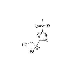 C[C@@](O)(CO)c1ncc(S(C)(=O)=O)s1